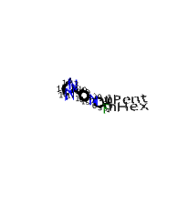 CCCCCCC(CCCCC)C1(F)CCN(c2ccc(-c3ncccn3)cc2)CC1